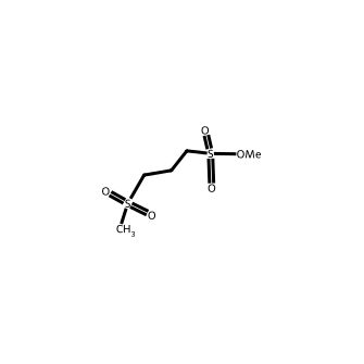 COS(=O)(=O)CCCS(C)(=O)=O